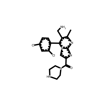 Cc1nc2nc(C(=O)N3CCNCC3)cn2c(-c2ccc(Cl)cc2Cl)c1CN